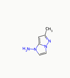 Cc1cc2n(N)ccn2n1